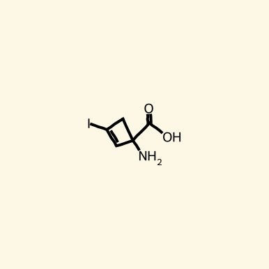 NC1(C(=O)O)C=C(I)C1